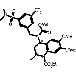 CCOC(=O)N1c2cc(OC)c(OC)cc2[C@H](N(Cc2cc(C(F)(F)F)cc(S(=O)(=O)N(C)C)c2)C(=O)OC)C[C@@H]1C